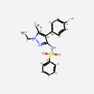 N#CCn1nc(NS(=O)(=O)c2ccccc2)c(-c2ccc(F)cc2)c1C(F)(F)F